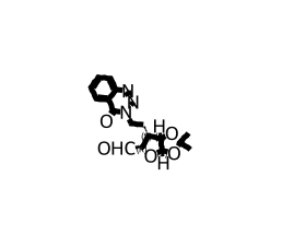 CC1(C)O[C@@H]2O[C@@H](C=O)[C@H](CCn3nnc4ccccc4c3=O)[C@@H]2O1